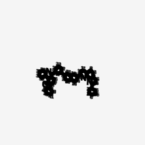 c1ccc(-c2ccc3ccc4ccc(-c5ccc6ccc(-c7cccc(-c8nc9ccccc9c9c8ccc8c%10ccccc%10oc89)c7)cc6c5)nc4c3n2)cc1